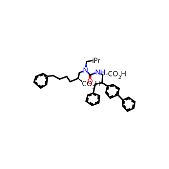 CC(C)CN(C[C@H](CCCCc1ccccc1)C(=O)O)C(=O)N[C@H](C(=O)O)C(Cc1ccccc1)c1ccc(-c2ccccc2)cc1